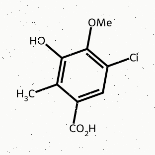 COc1c(Cl)cc(C(=O)O)c(C)c1O